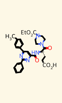 CCOC(=O)N1CCN(C(=O)[C@H](CCC(=O)O)NC(=O)c2cc(-c3ccc(C)cc3)nc(-c3ccccc3)n2)CC1